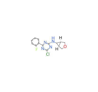 Fc1ccccc1-c1nc(Cl)nc(NC2[C@H]3COC[C@@H]23)n1